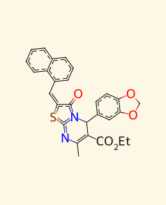 CCOC(=O)C1=C(C)N=c2s/c(=C/c3cccc4ccccc34)c(=O)n2C1c1ccc2c(c1)OCO2